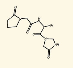 CC(C)C(NC(=O)CN1CCCC1=O)C(=O)N1CNC(=O)C1